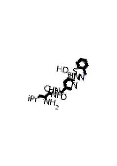 CC(C)C[C@H](N)C(=O)NNC(=O)c1ccc(N/N=C\c2ccccc2S(=O)(=O)O)nc1